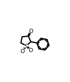 O=C1CCS(=O)(=O)C1c1ccccc1